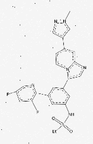 CCS(=O)(=O)Nc1cc(-c2ncc(F)cc2F)cc(-c2cnc3cc(-c4cnn(C)c4)ccn23)c1